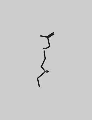 C=C(C)COCCNCC